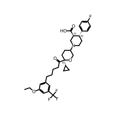 CCOc1cc(CCCCC(=O)[C@@]2(C3CC3)CCC(N3CC[C@@H](c4ccc(F)cc4)[C@H](C(=O)O)C3)CO2)cc(C(F)(F)F)c1